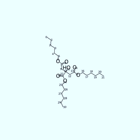 CCCCCCOC(=O)CC(O)(CC(=O)OCCCCCC)C(=O)OCCCCCC